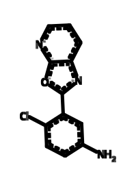 Nc1ccc(Cl)c(-c2nc3cccnc3o2)c1